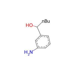 CCCCC(O)c1cccc(N)c1